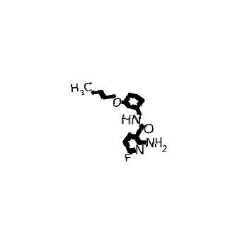 CCC=CCOc1cccc(CNC(=O)c2ccc(F)nc2N)c1